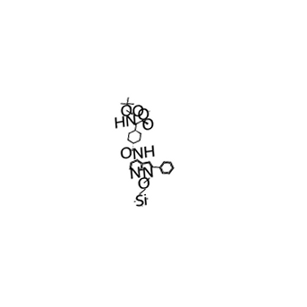 COC(=O)[C@@H](NC(=O)OC(C)(C)C)[C@H]1CC[C@H](C(=O)Nc2ccnc3c2cc(-c2ccccc2)n3COCC[Si](C)(C)C)CC1